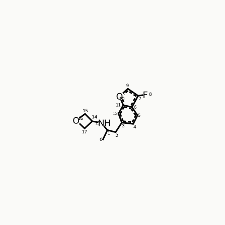 CC(Cc1ccc2c(F)coc2c1)NC1COC1